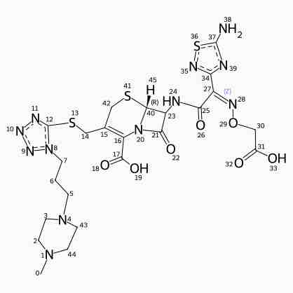 CN1CCN(CCCn2nnnc2SCC2=C(C(=O)O)N3C(=O)C(NC(=O)/C(=N\OCC(=O)O)c4nsc(N)n4)[C@H]3SC2)CC1